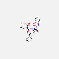 CC(C)CN(C(=O)O)C(=O)N[C@@H](CCc1ccccc1)C(=O)c1nc2ccccc2o1